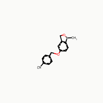 [C-]#[N+]c1ccc(COc2ccc3c(c2)COB3C)cc1